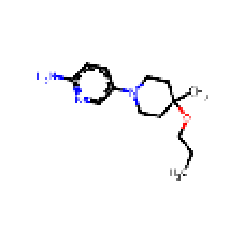 CCCOC1(C)CCN(c2ccc(N)nc2)CC1